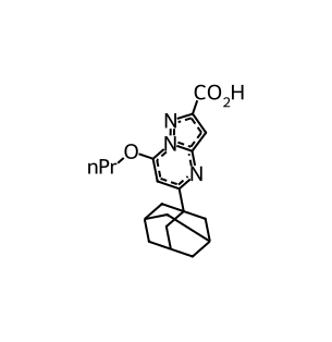 CCCOc1cc(C23CC4CC(CC(C4)C2)C3)nc2cc(C(=O)O)nn12